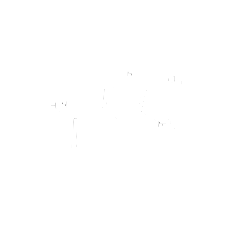 NC(=O)c1cnc(C(F)(F)F)c([N+](=O)[O-])c1